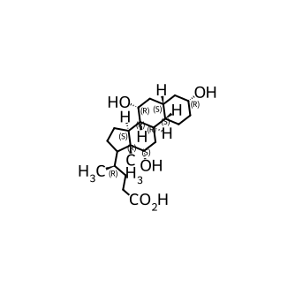 C[C@H](CCC(=O)O)C1CC[C@H]2[C@H]3[C@H](C[C@H](O)[C@]12C)[C@H]1CC[C@@H](O)C[C@H]1C[C@H]3O